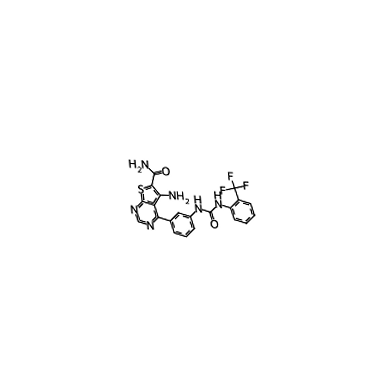 NC(=O)c1sc2ncnc(-c3cccc(NC(=O)Nc4ccccc4C(F)(F)F)c3)c2c1N